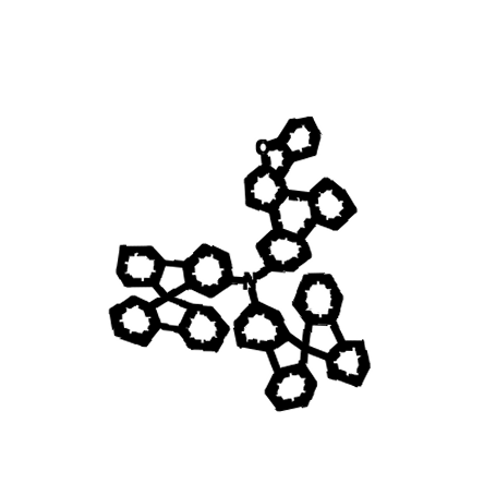 c1ccc2c(c1)-c1ccccc1C21c2ccccc2-c2ccc(N(c3ccc4c(c3)C3(c5ccccc5-c5ccccc53)c3ccccc3-4)c3ccc4c5ccccc5c5c(ccc6oc7ccccc7c65)c4c3)cc21